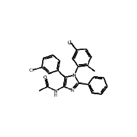 CC(=O)Nc1nc(-c2ccccc2)n(-c2cc(Cl)ccc2C)c1-c1cccc(Cl)c1